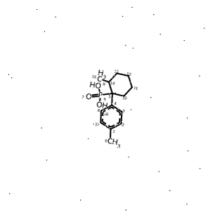 Cc1ccc(C2(P(=O)(O)O)CCCCC2C)cc1